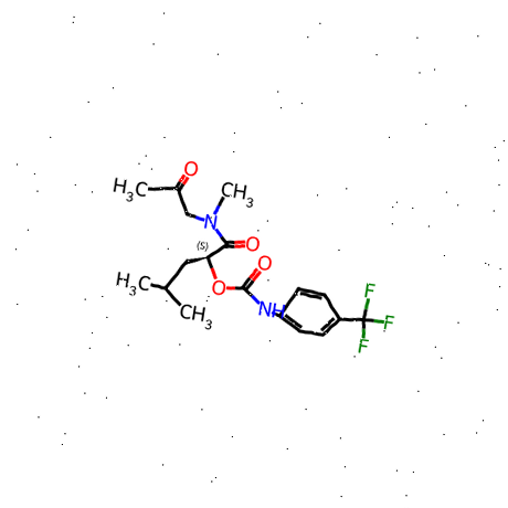 CC(=O)CN(C)C(=O)[C@H](CC(C)C)OC(=O)Nc1ccc(C(F)(F)F)cc1